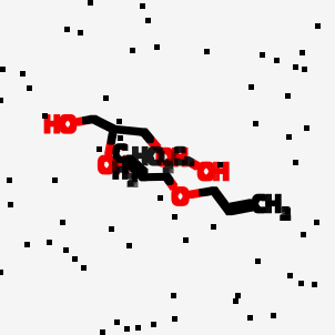 C=CCOCC=C.O=C(O)O.OCC(O)CO